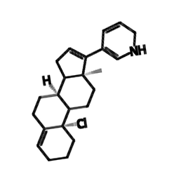 C[C@]12CCC3[C@@H](CCC4=CCCC[C@@]43Cl)C1CC=C2C1=CNCC=C1